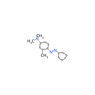 Cc1cc(N(C)C)ccc1N=Nc1ccccc1